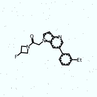 CCc1cccc(-c2cnc3ccn(CC(=O)N4CC(F)C4)c3c2)c1